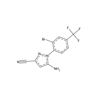 N#Cc1cc(N)n(-c2ccc(C(F)(F)F)cc2Br)n1